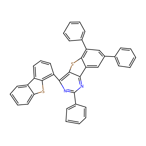 c1ccc(-c2cc(-c3ccccc3)c3sc4c(-c5cccc6c5sc5ccccc56)nc(-c5ccccc5)nc4c3c2)cc1